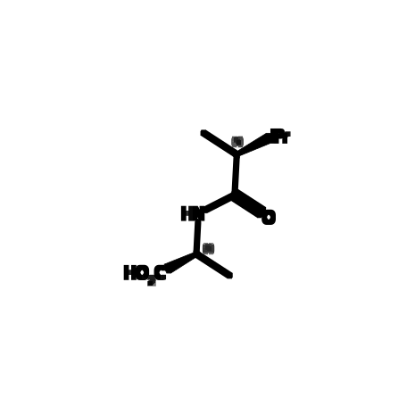 CC(C)[C@H](C)C(=O)N[C@@H](C)C(=O)O